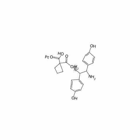 NC(c1ccc(O)cc1)C(N)c1ccc(O)cc1.O=C(O)C1(C(=O)O)CCC1.[Pt]